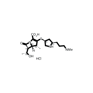 CNCCC[C@@H]1C[C@H](SC2=C(C(=O)O)N3C(=O)[C@H]([C@@H](C)O)[C@H]3[C@H]2C)CN1.Cl